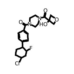 O=C(c1ccc(C2CCC(Cl)CC2F)cc1)N1CCN(C(=O)C2(O)COC2)CC1